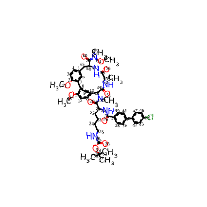 COc1ccc2cc1-c1cc(ccc1OC)[C@H](N(C)C(=O)[C@H](CCCCNC(=O)OC(C)(C)C)NC(=O)c1ccc(-c3ccc(Cl)cc3)cc1)C(=O)N[C@@H](C)C(=O)N[C@H](C(=O)N(C)OC)C2